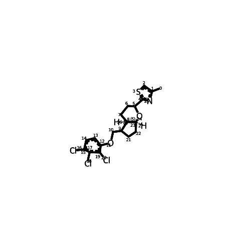 Cc1csc(C2CC[C@@H]3C(COc4ccc(Cl)c(Cl)c4Cl)CC[C@@H]3O2)n1